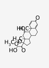 COOC1(C(=O)CO)CCC2C3CCC4=CC(=O)C=CC4(C)C3C(O)CC21C